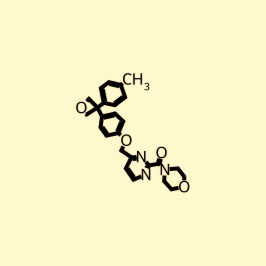 Cc1ccc(C2(c3ccc(OCc4ccnc(C(=O)N5CCOCC5)n4)cc3)COC2)cc1